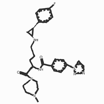 CN1CCN(C(=O)C(CCCN[C@@H]2C[C@H]2c2ccc(F)cc2)NC(=O)c2ccc(-n3ccnn3)cc2)CC1